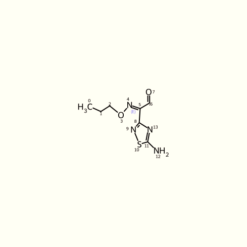 CCCO/N=C(/[C]=O)c1nsc(N)n1